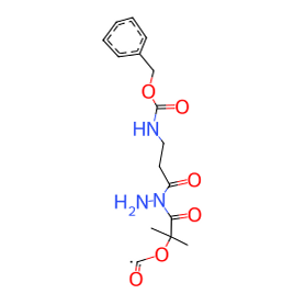 CC(C)(O[C]=O)C(=O)N(N)C(=O)CCNC(=O)OCc1ccccc1